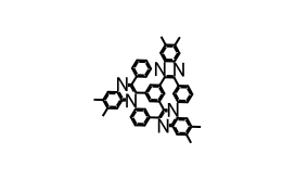 Cc1cc2nc(-c3ccccc3)c(-c3cc(-c4nc5cc(C)c(C)cc5nc4-c4ccccc4)cc(-c4nc5cc(C)c(C)cc5nc4-c4ccccc4)c3)nc2cc1C